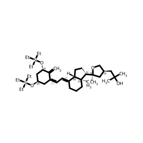 C=C1/C(=C\C=C2/CCC[C@@]3(C)[C@H]2CC[C@@H]3[C@]2(C)C[C@H](CC(C)(C)O)CO2)C[C@@H](O[Si](CC)(CC)CC)C[C@@H]1O[Si](CC)(CC)CC